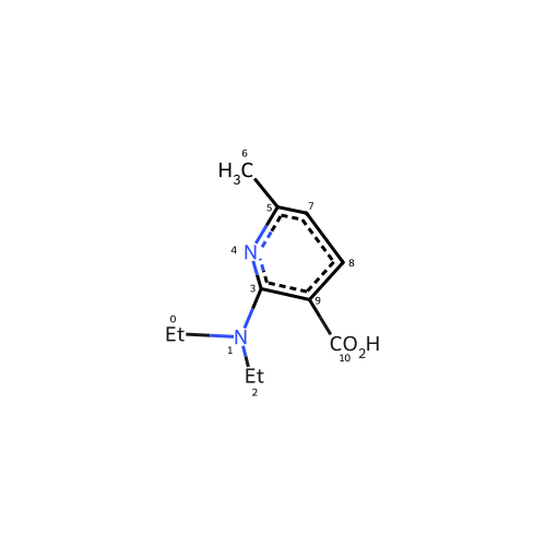 CCN(CC)c1nc(C)ccc1C(=O)O